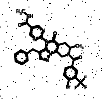 CNC(=O)c1cnc(-n2c(=O)c3c(n4ncc(Cc5ccccc5)c24)CN(C(=O)c2ccc(Br)c(C(F)(F)F)c2)C(C)C3)nc1